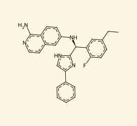 CCc1ccc(F)c([C@H](Nc2ccc3c(N)nccc3c2)c2nc(-c3ccccc3)c[nH]2)c1